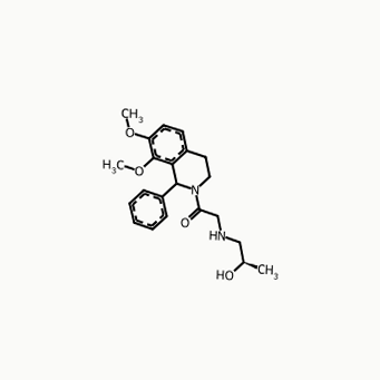 COc1ccc2c(c1OC)C(c1ccccc1)N(C(=O)CNC[C@@H](C)O)CC2